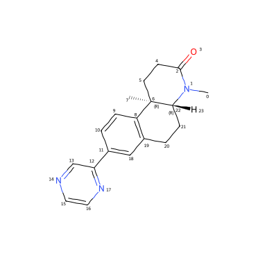 CN1C(=O)CC[C@]2(C)c3ccc(-c4cnccn4)cc3CC[C@@H]12